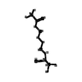 CN(C)C(=O)COCCOCC(=O)N(C)C